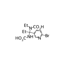 CCN(C(=O)O)C(CC)(NC(=O)O)c1ccc(Br)nc1